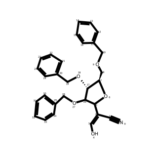 N#C/C(=C\O)C1O[C@H](COCc2ccccc2)[C@@H](OCc2ccccc2)C1OCc1ccccc1